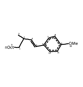 CCCCCCCCCC(C)/C=C/c1ccc(OC)cc1